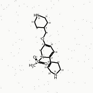 CS(=O)(=O)N1CC(OCC2CCNCC2)=CC=C1C1=CCNCC1